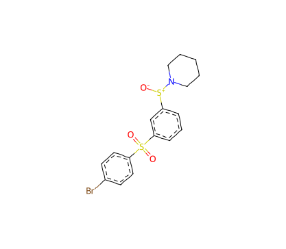 O=S(=O)(c1ccc(Br)cc1)c1cccc([S+]([O-])N2CCCCC2)c1